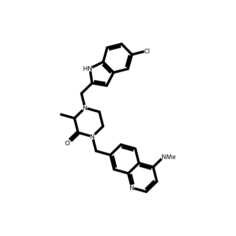 CNc1ccnc2cc(CN3CCN(Cc4cc5cc(Cl)ccc5[nH]4)C(C)C3=O)ccc12